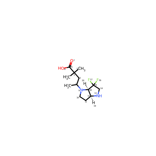 CC(CC(C)(C)C(=O)O)N1CC[C@@H]2NCC(F)(F)[C@@H]21